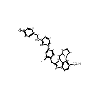 O=C(O)c1ccc2nc(Cc3ccc(-c4cccc(OCc5ccc(Cl)cc5)n4)cc3F)n(CC3CCCO3)c2c1